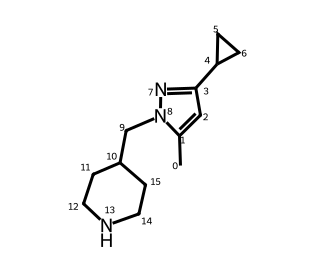 Cc1cc(C2CC2)nn1CC1CCNCC1